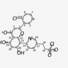 O=c1cc(-c2ccccc2Cl)oc2c(-c3ccc(CCS(=O)(=O)Cl)cn3)c(O)cc(O)c12